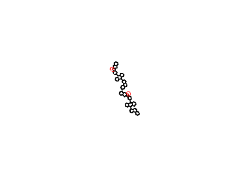 c1ccc2cc3c(cc2c1)oc1ccc(-c2c4ccccc4c(-c4ccc5ccc6cc(-c7cccc8cc9c(cc78)oc7ccc(-c8c%10ccccc%10c(-c%10cccc%11c%10ccc%10ccccc%10%11)c%10ccccc8%10)cc79)ccc6c5c4)c4ccccc24)cc13